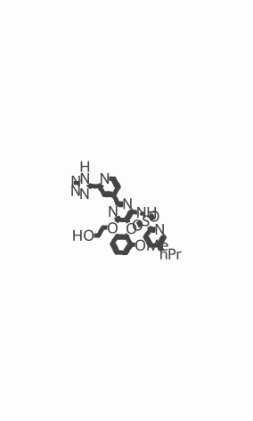 CCCc1ccc(S(=O)(=O)Nc2nc(-c3ccnc(-c4nnn[nH]4)c3)nc(OCCO)c2Oc2ccccc2OC)nc1